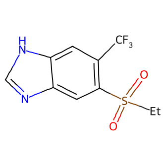 CCS(=O)(=O)c1cc2nc[nH]c2cc1C(F)(F)F